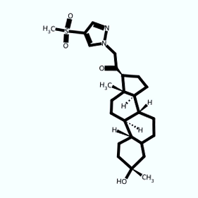 C[C@@]1(O)CC[C@H]2C(CC[C@@H]3[C@@H]2CC[C@]2(C)[C@@H](C(=O)Cn4cc(S(C)(=O)=O)cn4)CC[C@@H]32)C1